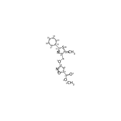 COC(=O)c1cc(OCc2nc(-c3ccccc3)sc2C)no1